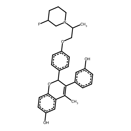 CC1=C(c2cccc(O)c2)C(c2ccc(OCC(C)N3CCCC(F)C3)cc2)Oc2ccc(O)cc21